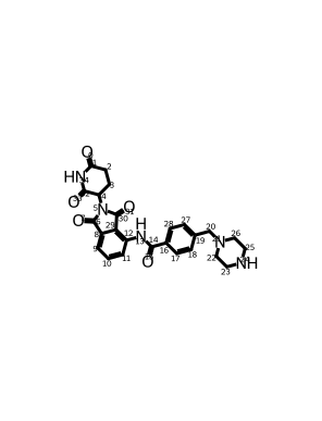 O=C1CCC(N2C(=O)c3cccc(NC(=O)c4ccc(CN5CCNCC5)cc4)c3C2=O)C(=O)N1